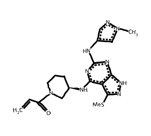 C=CC(=O)N1CCC[C@@H](Nc2nc(Nc3cnn(C)c3)nc3[nH]nc(SC)c23)C1